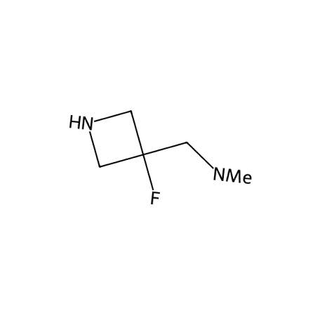 CNCC1(F)CNC1